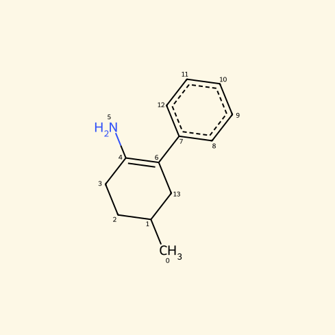 CC1CCC(N)=C(c2ccccc2)C1